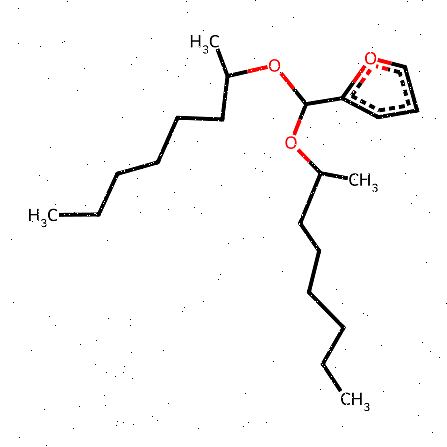 CCCCCCC(C)OC(OC(C)CCCCCC)c1ccco1